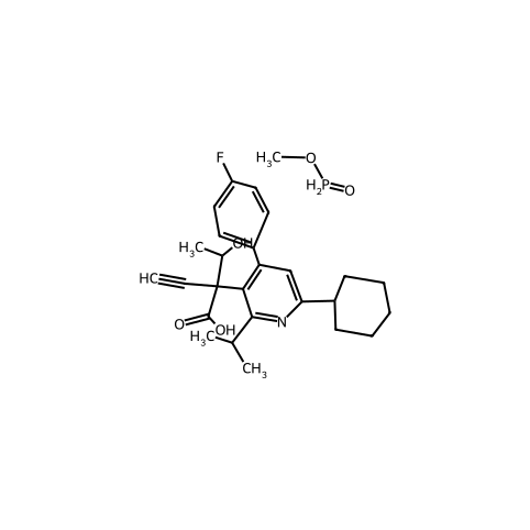 C#CC(C(=O)O)(c1c(-c2ccc(F)cc2)cc(C2CCCCC2)nc1C(C)C)C(C)O.CO[PH2]=O